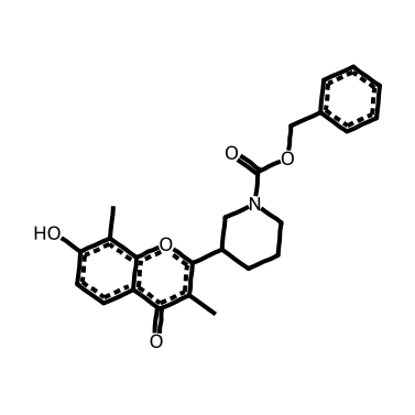 Cc1c(C2CCCN(C(=O)OCc3ccccc3)C2)oc2c(C)c(O)ccc2c1=O